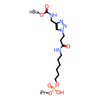 CCCCOC(=O)NCc1cn(CCC(=O)NCCCCCCOP(=O)(O)OC(C)C)nn1